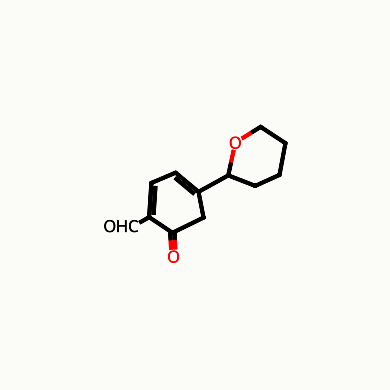 O=CC1=CC=C(C2CCCCO2)CC1=O